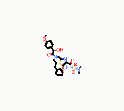 COc1ccc([C@@H](O)C(=O)N(CCCc2ccccc2)Cc2nc(C(=O)NS(=O)(=O)N(C)C)c(Br)s2)cc1